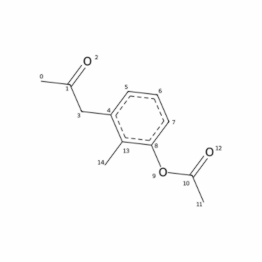 CC(=O)Cc1cccc(OC(C)=O)c1C